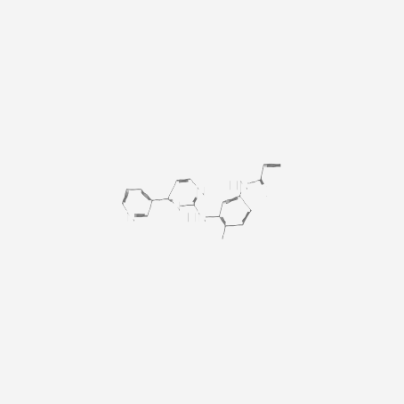 C=CC(=O)Nc1ccc(C)c(Nc2nccc(-c3cccnc3)n2)c1